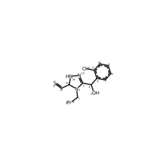 CC(C)CN1C(C(O)c2ccccc2Cl)=NNC1C=S